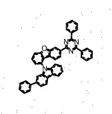 c1ccc(-c2ccc3c4ccccc4n(-c4cccc5oc6cc(-c7nc(-c8ccccc8)nc(-c8ccccc8)n7)ccc6c45)c3c2)cc1